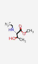 CCN[C@H](C(=O)OC)[C@@H](C)O